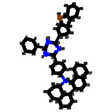 c1ccc(-c2nc(-c3ccc(N4c5c(ccc6ccccc56)-c5cccc6cccc4c56)cc3)nc(-c3ccc4c(c3)sc3ccccc34)n2)cc1